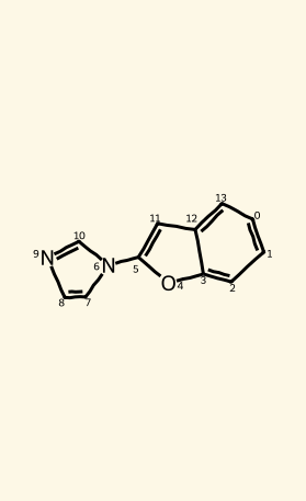 c1ccc2oc(-n3ccnc3)cc2c1